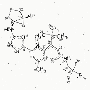 Cc1cc(-c2nnc(N[C@@]34CCC[C@@H]3C4)o2)nc2c(C(C)(C)C)cc(NCC(F)(F)F)cc12